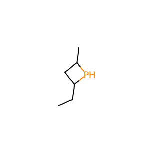 CCC1CC(C)P1